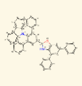 c1ccc(-c2cc3c(c(-c4ccccc4)c2)NC(c2cc(-c4ccccc4)c(-n4c5ccccc5c5ccccc54)c(-c4ccccc4)c2)O3)cc1